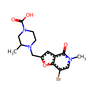 CC1CN(C(=O)O)CCN1Cc1cc2c(=O)n(C)cc(Br)c2o1